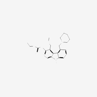 CCOC(=O)Oc1ncc2[nH]c3cccc(CN4CCCCC4)c3c2c1COC